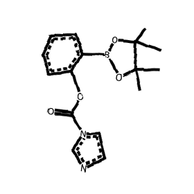 CC1(C)OB(c2ccccc2OC(=O)n2ccnc2)OC1(C)C